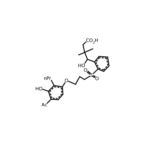 CCCc1c(OCCCS(=O)(=O)c2ccccc2C(O)C(C)(C)CC(=O)O)ccc(C(C)=O)c1O